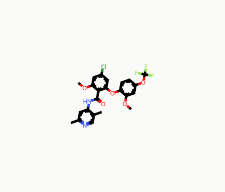 COc1cc(OC(F)(F)F)ccc1Oc1cc(Cl)cc(OC)c1C(=O)Nc1cc(C)ncc1C